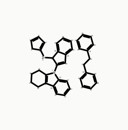 C1=CC[C]([Zr][CH]2C(n3c4c(c5ccccc53)CCCC4)=Cc3ccccc32)=C1.c1ccc(CCc2ccccc2)cc1